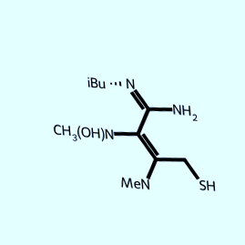 CC[C@@H](C)/N=C(N)\C(=C(/CS)NC)N(C)O